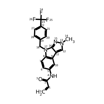 C=CC(=O)Nc1ccc2c(c1)c1cn(C)nc1n2Cc1ccc(C(F)(F)F)cc1